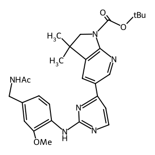 COc1cc(CNC(C)=O)ccc1Nc1nccc(-c2cnc3c(c2)C(C)(C)CN3C(=O)OC(C)(C)C)n1